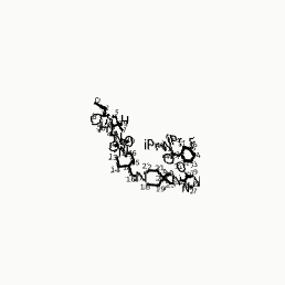 C=CC(=O)N1C[C@H]2CN(S(=O)(=O)N3CCC(CN4CCC5(CC4)CN(c4ncncc4Oc4ccc(F)cc4C(=O)N(C(C)C)C(C)C)C5)CC3)C[C@H]21